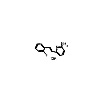 Cl.Nc1cccc(C=Cc2ccccc2F)n1